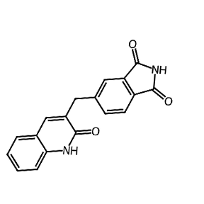 O=C1NC(=O)c2cc(Cc3cc4ccccc4[nH]c3=O)ccc21